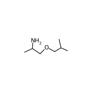 CC(C)COCC(C)N